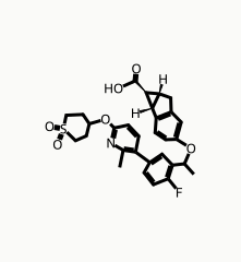 Cc1nc(OC2CCS(=O)(=O)CC2)ccc1-c1ccc(F)c(C(C)Oc2ccc3c(c2)C[C@H]2[C@H](C(=O)O)[C@@H]32)c1